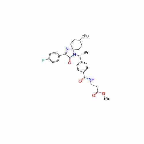 CC(C)[C@H](c1ccc(C(=O)NCCC(=O)OC(C)(C)C)cc1)N1C(=O)C(c2ccc(F)cc2)=NC12CCC(C(C)(C)C)CC2